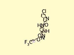 O=C(N[C@H]1CC[C@H](c2nnc(OC/C=C/C(F)(F)F)o2)NC1)c1cnc2cc(Cl)ccc2c1